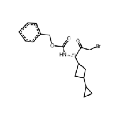 O=C(N[C@H](C(=O)CBr)C1CC(C2CC2)C1)OCc1ccccc1